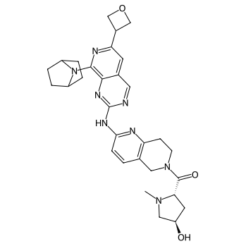 CN1C[C@H](O)C[C@H]1C(=O)N1CCc2nc(Nc3ncc4cc(C5COC5)nc(N5C6CCC5CC6)c4n3)ccc2C1